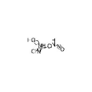 OC1CCC(Nc2cc(Cl)ncc2C#Cc2ccc(NCCN3CCOCC3)cc2)CC1